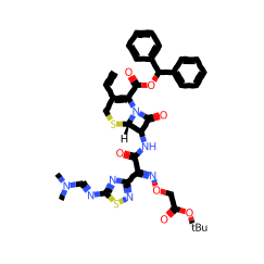 C=CC1=C(C(=O)OC(c2ccccc2)c2ccccc2)N2C(=O)C(NC(=O)C(=NOCC(=O)OC(C)(C)C)c3nsc(N=CN(C)C)n3)[C@@H]2SC1